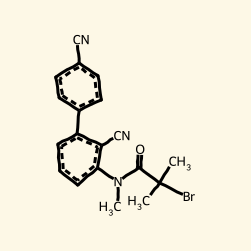 CN(C(=O)C(C)(C)Br)c1cccc(-c2ccc(C#N)cc2)c1C#N